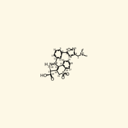 CN(C)Cc1noc(-c2cccc(N(N)C3=C(C(I)C(=O)O)CS(=O)(=O)c4ccccc43)c2)n1